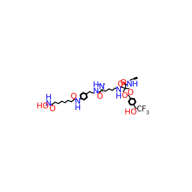 C#CCNC(=O)C1(C(=O)NCCCC[C@@H](C(=O)NCCc2ccc(NC(=O)CCCCCCC(=O)NO)cc2)N(C)C)COC(c2ccc(C(O)C(F)(F)F)cc2)OC1